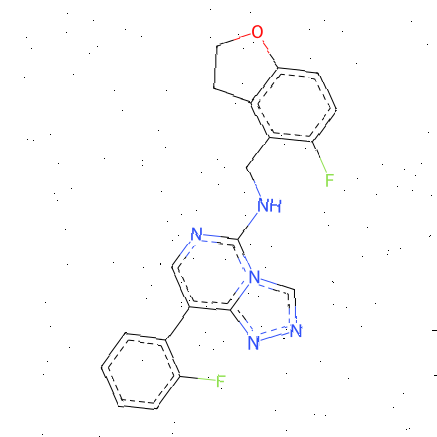 Fc1ccccc1-c1cnc(NCc2c(F)ccc3c2CCO3)n2cnnc12